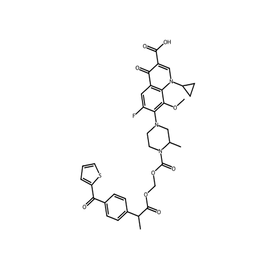 COc1c(N2CCN(C(=O)OCOC(=O)C(C)c3ccc(C(=O)c4cccs4)cc3)C(C)C2)c(F)cc2c(=O)c(C(=O)O)cn(C3CC3)c12